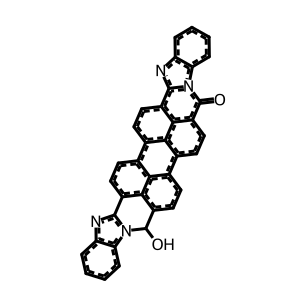 O=c1c2ccc3c4ccc5c6c(ccc(c7ccc(c2c37)c2nc3ccccc3n12)c64)-c1nc2ccccc2n1C5O